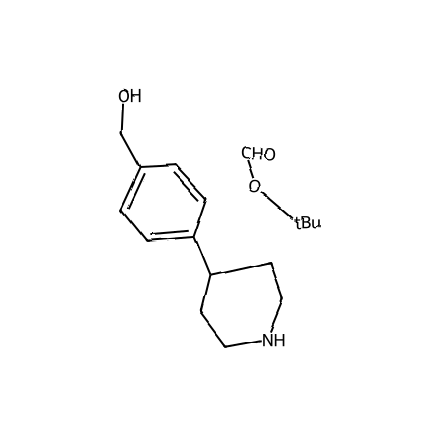 CC(C)(C)OC=O.OCc1ccc(C2CCNCC2)cc1